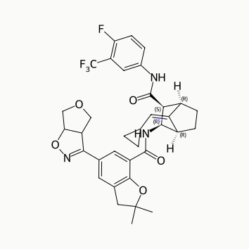 CC1(C)Cc2cc(C3=NOC4COCC34)cc(C(=O)N[C@H]3[C@@H](C(=O)Nc4ccc(F)c(C(F)(F)F)c4)[C@H]4CC[C@@H]3/C4=C\C3CC3)c2O1